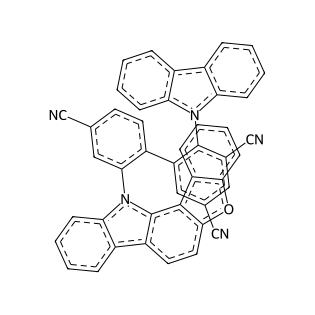 N#Cc1cc(C#N)c(-n2c3ccccc3c3ccccc32)c(-c2ccc(C#N)cc2-n2c3ccccc3c3ccc4oc5ccccc5c4c32)c1